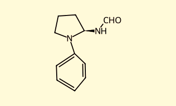 O=CN[C@@H]1CCCN1c1ccccc1